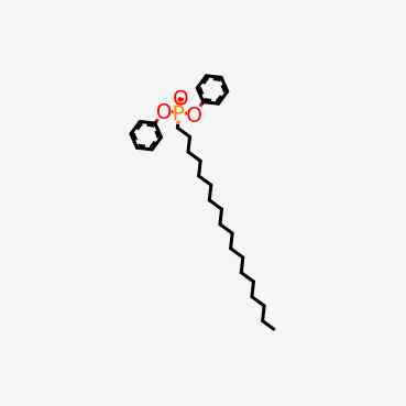 CCCCCCCCCCCCCCCCCCP(=O)(Oc1ccccc1)Oc1ccccc1